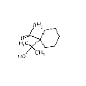 CC(C)(O)C1(C(N)=O)CCCCC1